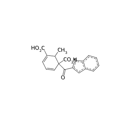 CC1C(C(=O)O)=CC=CC1(C(=O)O)C(=O)c1cc2ccccc2s1